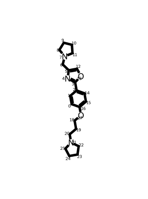 c1cc(-c2nc(CN3CCCC3)co2)ccc1OCCCN1CCCC1